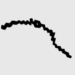 CCCCCCCCCCCCCCCCCCCc1ccc(N(C)CCCCCCCCCCCC)cc1